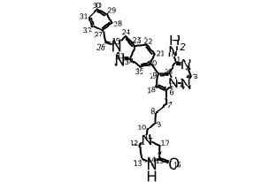 Nc1ncnn2c(CCCCN3CCNC(=O)C3)cc(-c3ccc4cn(Cc5ccccc5)nc4c3)c12